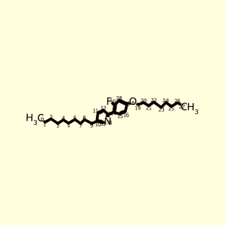 CCCCCCCCCCc1ccc(-c2ccc(OCCCCCCCCC)cc2F)nc1